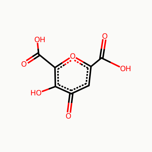 O=C(O)c1cc(=O)c(O)c(C(=O)O)o1